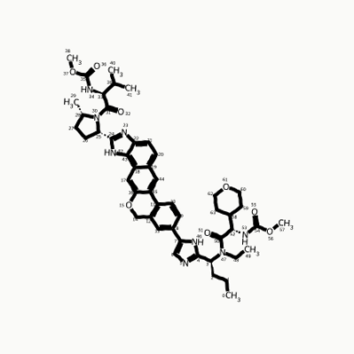 CCC[C@@H](c1ncc(-c2ccc3c(c2)COc2cc4c(ccc5nc([C@@H]6CC[C@H](C)N6C(=O)[C@@H](NC(=O)OC)C(C)C)[nH]c54)cc2-3)[nH]1)N(CC)C(=O)[C@@H](NC(=O)OC)C1CCOCC1